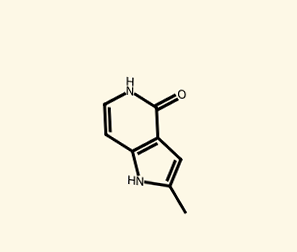 Cc1cc2c(=O)[nH]ccc2[nH]1